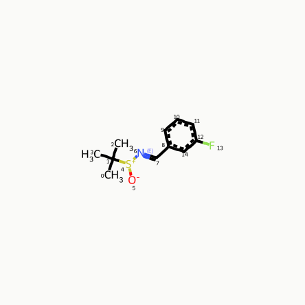 CC(C)(C)[S+]([O-])/N=C/c1cccc(F)c1